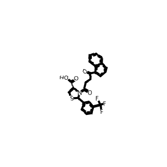 O=C(CCC(=O)N1C(c2cccc(C(F)(F)F)c2)SC[C@H]1C(=O)O)c1cccc2ccccc12